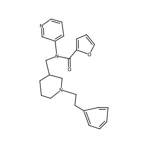 O=C(c1ccco1)N(CC1CCCN(CCc2ccccc2)C1)c1cccnc1